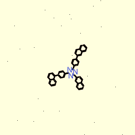 c1ccc2cc(-c3ccc(-c4nc(-c5ccc(-c6cccc7ccccc67)cc5)nc(-c5ccc6ccccc6c5)n4)cc3)ccc2c1